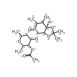 CC(=O)O[C@H]1C(C)O[C@@H](C)[C@H](O)C1O[C@@H]1OC(C)C(C)[C@@H]2OC(C)(C)OC12